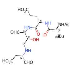 CC[C@H](C)[C@H](NC(C)=O)C(=O)N[C@@H](CCC(=O)O)C(=O)N[C@H](C=O)[C@H](O)CN[C@H](C=O)CC(=O)O